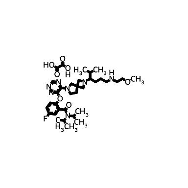 COCCNCCCC(C(C)C)N1CC2(CCN(c3ncnnc3Oc3ccc(F)cc3C(=O)N(C(C)C)C(C)C)C2)C1.O=C(O)C(=O)O